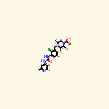 Cc1cc(NC(=O)Nc2cccc(CN3[C@H](C)C(C)N(C(=O)O)C[C@@H]3C)c2F)ccn1